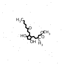 CCCCCC(=O)CCC1C(O)CC(O)C1CCC(C)CC(=O)OC